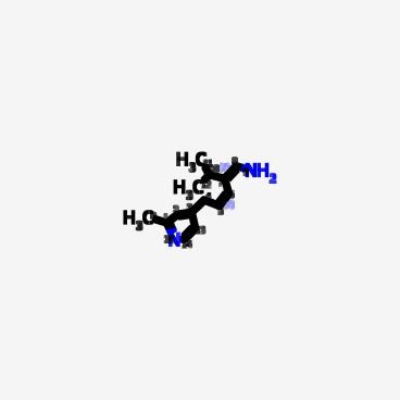 Cc1cc(C/C=C\C(=C/N)C(C)C)ccn1